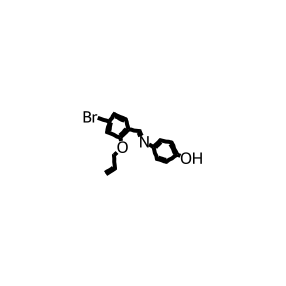 C=CCOc1cc(Br)ccc1/C=N/c1ccc(O)cc1